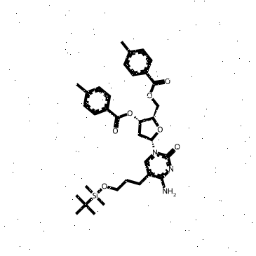 Cc1ccc(C(=O)OC[C@H]2O[C@H](n3cc(CCCO[Si](C)(C)C(C)(C)C)c(N)nc3=O)C[C@@H]2OC(=O)c2ccc(C)cc2)cc1